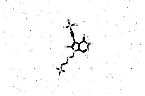 CC[Si](C#Cc1c(Cl)n(COCC[Si](C)(C)C)c2cn[nH]c(=O)c12)(CC)CC